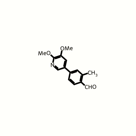 COc1cc(-c2ccc(C=O)c(C)c2)cnc1OC